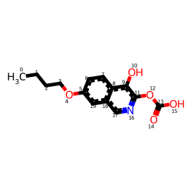 CCCCOc1ccc2c(O)c(OC(=O)O)ncc2c1